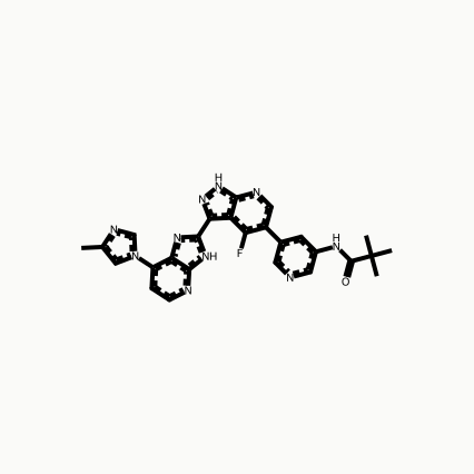 Cc1cn(-c2ccnc3[nH]c(-c4n[nH]c5ncc(-c6cncc(NC(=O)C(C)(C)C)c6)c(F)c45)nc23)cn1